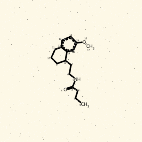 CCCC(=O)NCCC1CCCc2ccc(OC)cc21